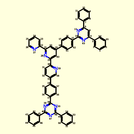 c1ccc(-c2cc(-c3ccccc3)nc(-c3ccc(-c4cc(-c5ccccn5)nc(-c5ccc(-c6ccc(-c7nc(-c8ccccc8)nc(-c8ccccc8)n7)cc6)cn5)c4)cc3)n2)cc1